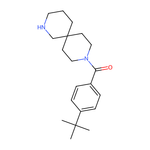 CC(C)(C)c1ccc(C(=O)N2CCC3(CCCNC3)CC2)cc1